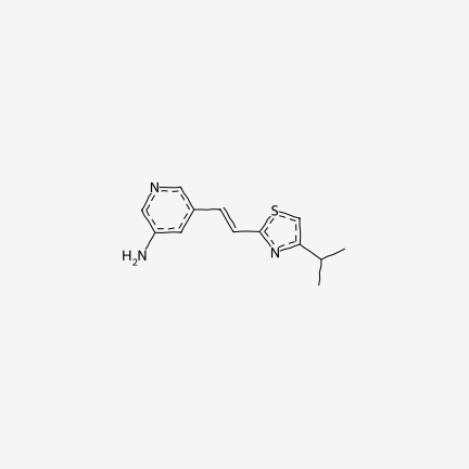 CC(C)c1csc(C=Cc2cncc(N)c2)n1